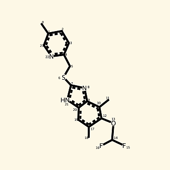 Cc1ccc(CSc2nc3c(C)c(OC(F)F)c(C)cc3[nH]2)nc1